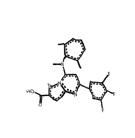 Cc1cccc(C)c1N(C)c1cc(-c2cc(F)c(F)c(F)c2)nc2cc(C(=O)O)nn12